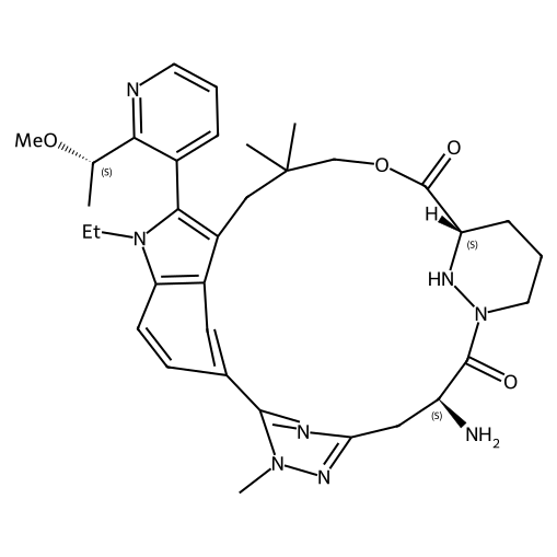 CCn1c(-c2cccnc2[C@H](C)OC)c2c3cc(ccc31)-c1nc(nn1C)C[C@H](N)C(=O)N1CCC[C@H](N1)C(=O)OCC(C)(C)C2